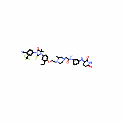 CCc1cc(N2C(=S)N(c3ccc(C#N)c(C(F)(F)F)c3)C(=O)C2(C)C)ccc1OCCN1CCN(CC(=O)Nc2cccc(NC3CCC(=O)NC3=O)c2)CC1C